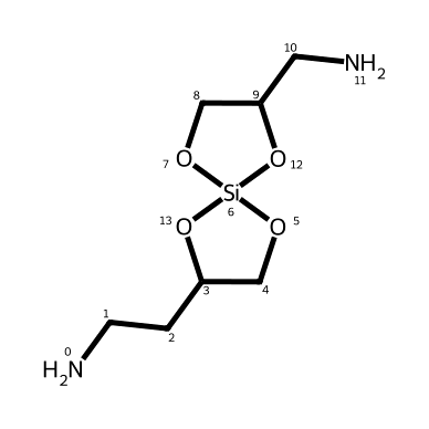 NCCC1CO[Si]2(OCC(CN)O2)O1